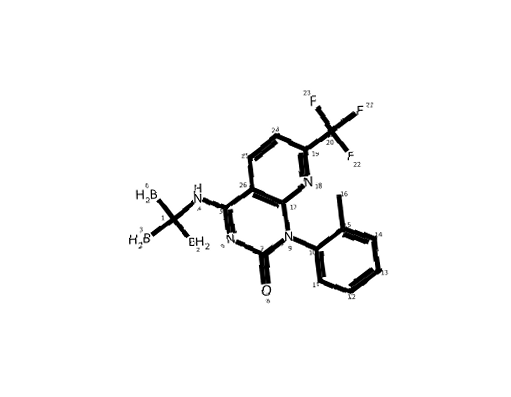 BC(B)(B)Nc1nc(=O)n(-c2ccccc2C)c2nc(C(F)(F)F)ccc12